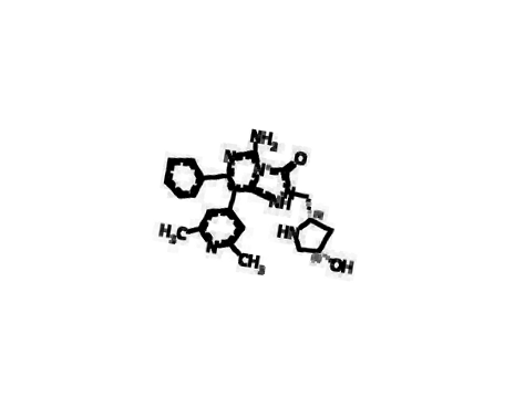 Cc1cc(-c2c(-c3ccccc3)nc(N)[n+]3c(=O)n(C[C@@H]4C[C@H](O)CN4)[nH]c23)cc(C)n1